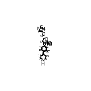 Cl.O=C1O[C@@H](COc2cnsn2)CN1c1ccc(C2=CCNCC2)c(F)c1